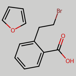 O=C(O)c1ccccc1CCBr.c1ccoc1